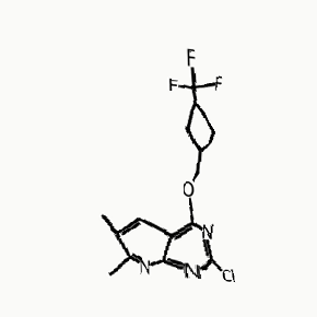 Cc1cc2c(OCC3CC(C(F)(F)F)C3)nc(Cl)nc2nc1C